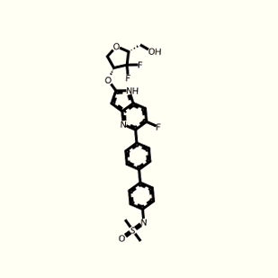 CS(C)(=O)=Nc1ccc(-c2ccc(-c3nc4cc(O[C@@H]5CO[C@H](CO)C5(F)F)[nH]c4cc3F)cc2)cc1